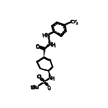 CC(C)(C)S(=O)(=O)N[C@H]1CC[C@H](C(=O)NNc2ccc(C(F)(F)F)cc2)CC1